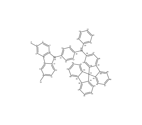 Cc1ccc2c(c1)c1cc(C)ccc1n2-c1ccc(N(c2ccccc2)c2ccc3c(c2)C2(c4ccccc4-c4ccccc42)c2ccccc2-3)cc1